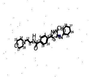 Cn1nc(-c2ccc(C(=O)NCCN3CCOCC3)cc2)s/c1=N/C1CCCCC1